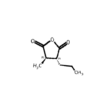 CCC[C@H]1C(=O)OC(=O)[C@@H]1C